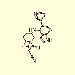 C[C@H]1CC[C@@H](Nc2c(-c3nncs3)cnc3[nH]ccc23)CN1C(=O)CC#N